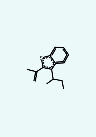 C=C(C)c1sc2c(c1C(C)CC)=C=C=CC=2